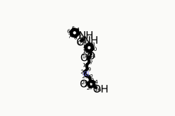 O=C(Nc1ccccc1)Nc1ccc(OC(=O)CCC/C=C\CC2=CC(O)CC2=O)cc1